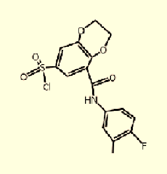 Cc1cc(NC(=O)c2cc(S(=O)(=O)Cl)cc3c2OCCO3)ccc1F